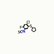 Fc1cc(Cl)c(SC2CCCC2)cc1N=C=S